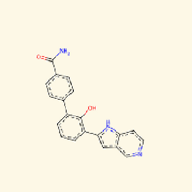 NC(=O)c1ccc(-c2cccc(-c3cc4cnccc4[nH]3)c2O)cc1